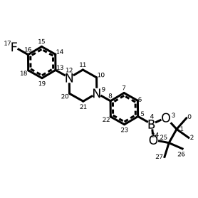 CC1(C)OB(c2ccc(N3CCN(c4ccc(F)cc4)CC3)cc2)OC1(C)C